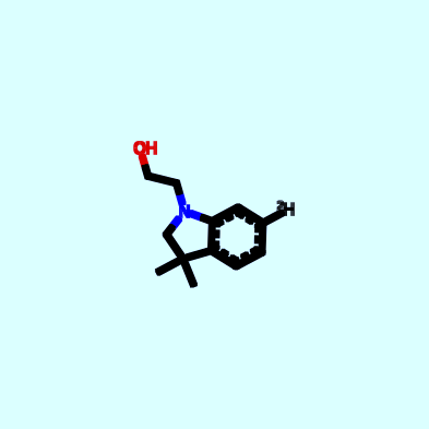 [2H]c1ccc2c(c1)N(CCO)CC2(C)C